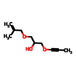 C=C(C)COCC(O)COC#CC